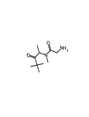 CC(C(=O)C(C)(C)C)N(C)C(=O)CN